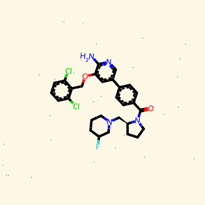 Nc1ncc(-c2ccc(C(=O)N3CCC[C@H]3CN3CCCC(F)C3)cc2)cc1OCc1c(Cl)cccc1Cl